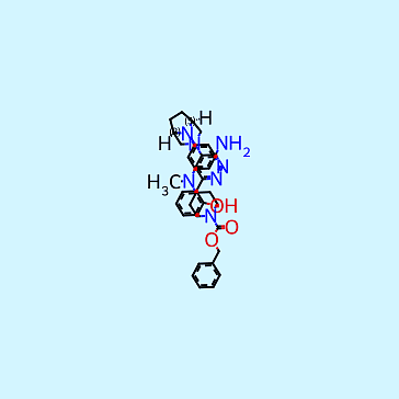 CN(c1cccc(N2[C@@H]3CC[C@H]2CN(c2cc(-c4ccccc4O)nnc2N)C3)c1)C1CCN(C(=O)OCc2ccccc2)CC1